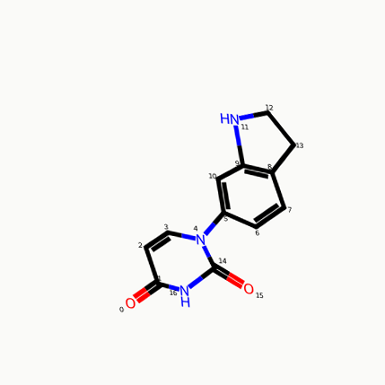 O=c1ccn(-c2ccc3c(c2)NCC3)c(=O)[nH]1